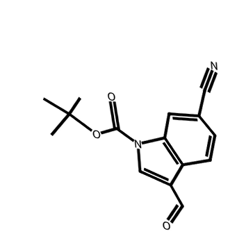 CC(C)(C)OC(=O)n1cc(C=O)c2ccc(C#N)cc21